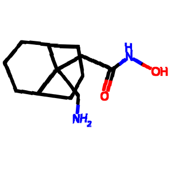 NCC1(CC(=O)NO)C2CCCC1CCC2